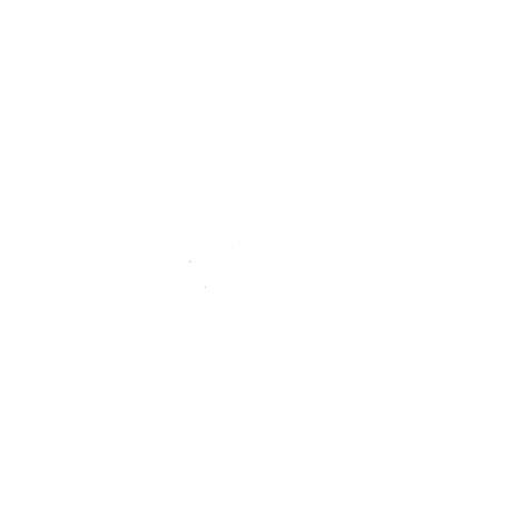 C#CCOC(=O)C(CC)(CC)C(=O)O